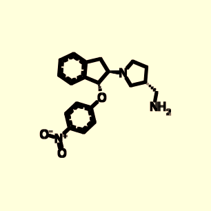 NC[C@H]1CCN([C@@H]2Cc3ccccc3[C@H]2Oc2ccc([N+](=O)[O-])cc2)C1